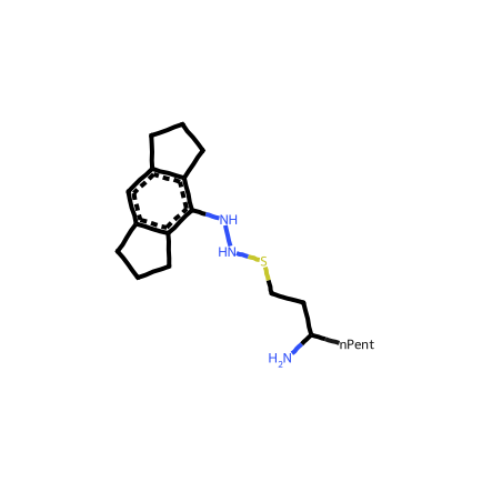 CCCCCC(N)CCSNNc1c2c(cc3c1CCC3)CCC2